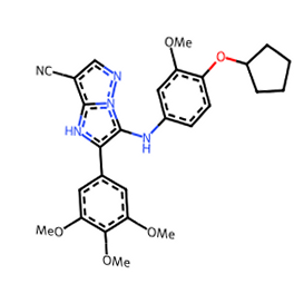 COc1cc(Nc2c(-c3cc(OC)c(OC)c(OC)c3)[nH]c3c(C#N)cnn23)ccc1OC1CCCC1